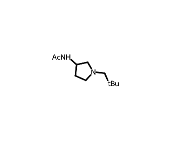 CC(=O)NC1CCN(CC(C)(C)C)C1